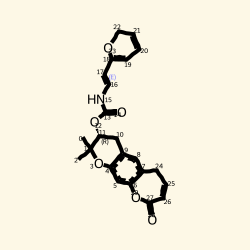 CC1(C)Oc2cc3c(cc2C[C@H]1OC(=O)N/C=C/C1=CC=CCO1)CC=CC(=O)O3